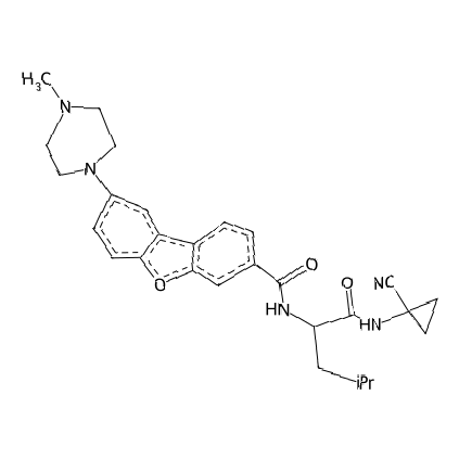 CC(C)CC(NC(=O)c1ccc2c(c1)oc1ccc(N3CCN(C)CC3)cc12)C(=O)NC1(C#N)CC1